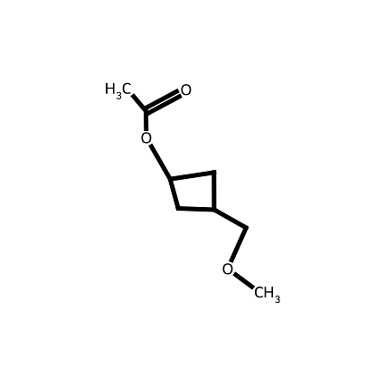 COCC1CC(OC(C)=O)C1